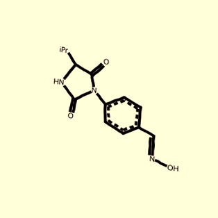 CC(C)C1NC(=O)N(c2ccc(C=NO)cc2)C1=O